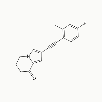 Cc1cc(F)ccc1C#Cc1cc2n(c1)CCCC2=O